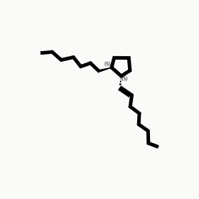 CCCCCCC=C[C@H]1CCC[C@@H]1CCCCCCC